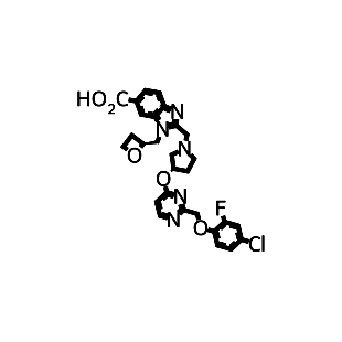 O=C(O)c1ccc2nc(CN3CC[C@H](Oc4ccnc(COc5ccc(Cl)cc5F)n4)C3)n(C[C@@H]3CCO3)c2c1